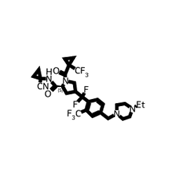 CCN1CCN(Cc2ccc(C(F)(F)C3C[C@@H](C(=O)NC4(C#N)CC4)N(C(=O)C4(C(F)(F)F)CC4)C3)c(C(F)(F)F)c2)CC1